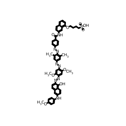 COc1ccc(Nc2ccc3c(O)c(N=Nc4cc(OC)c(N=Nc5cc(C)c(N=Nc6ccc(C(=O)Nc7ccc8cccc(OCCCCS(=O)(=O)O)c8c7)cc6)c(C)c5)cc4OC)ccc3c2)cc1